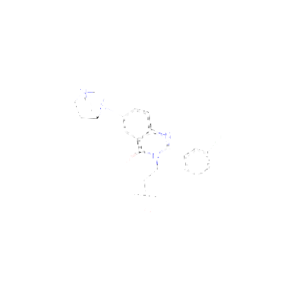 CC(C)(O)CCn1c(-c2cccc(Cl)c2)nc2ccc(N3CCN4CCC3CC4)cc2c1=O